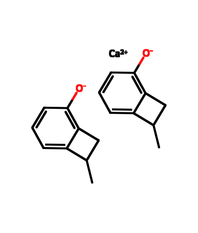 CC1Cc2c([O-])cccc21.CC1Cc2c([O-])cccc21.[Ca+2]